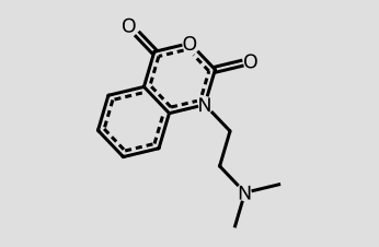 CN(C)CCn1c(=O)oc(=O)c2ccccc21